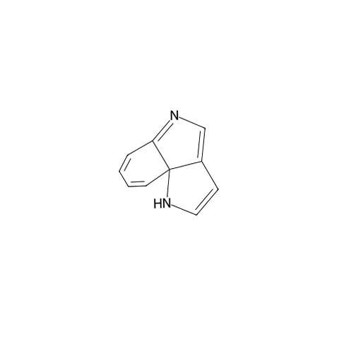 C1=CC2=NC=C3C=CNC32C=C1